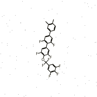 Cc1ccc(-c2cc(F)c(-c3cc(F)c(OC(F)(F)c4cc(F)c(F)c(F)c4)c(F)c3)c(F)c2)cc1C